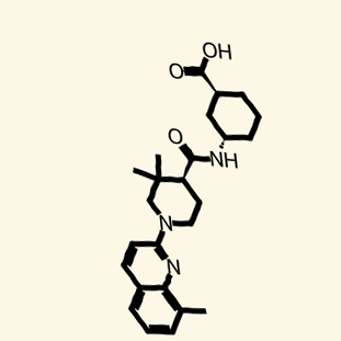 Cc1cccc2ccc(N3CC[C@H](C(=O)N[C@H]4CCC[C@H](C(=O)O)C4)C(C)(C)C3)nc12